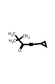 CC(C)(C)C(=O)C#CC1CC1